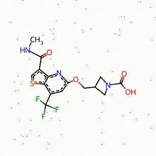 CNC(=O)c1csc2c(C(F)(F)F)cc(OCC3CN(C(=O)O)C3)nc12